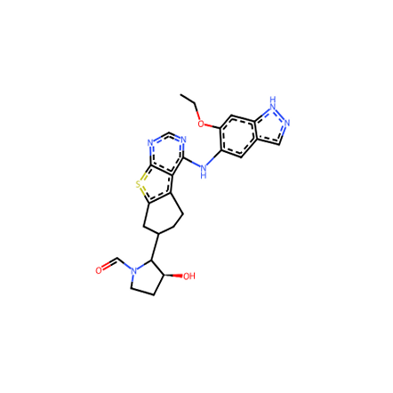 CCOc1cc2[nH]ncc2cc1Nc1ncnc2sc3c(c12)CCC(C1[C@@H](O)CCN1C=O)C3